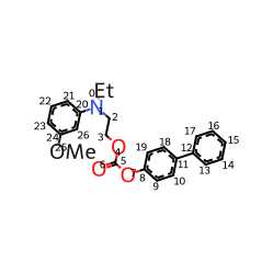 CCN(CCOC(=O)Oc1ccc(-c2ccccc2)cc1)c1cccc(OC)c1